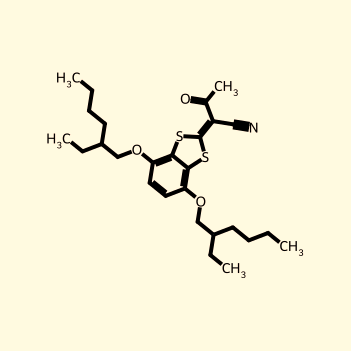 CCCCC(CC)COc1ccc(OCC(CC)CCCC)c2c1SC(=C(C#N)C(C)=O)S2